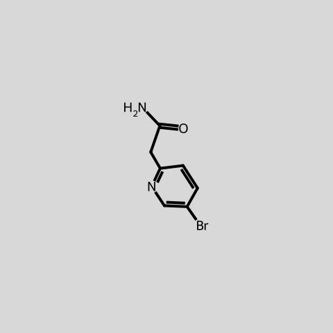 NC(=O)Cc1ccc(Br)cn1